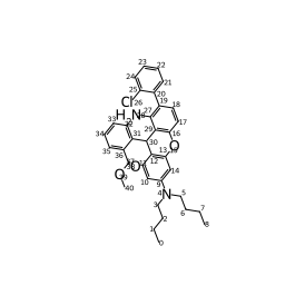 CCCCN(CCCC)c1ccc2c(c1)Oc1ccc(-c3ccccc3Cl)c(N)c1C2c1ccccc1C(=O)OC